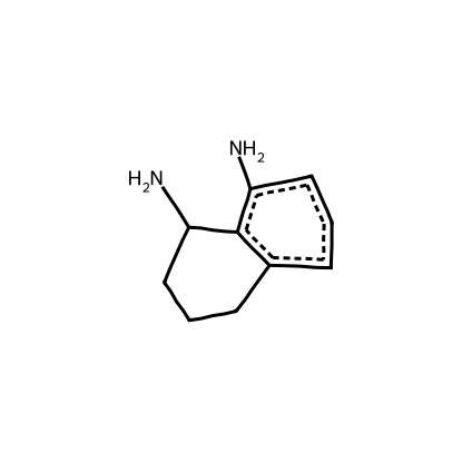 Nc1cccc2c1C(N)CCC2